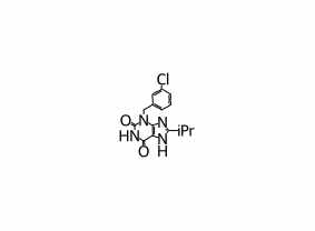 CC(C)c1nc2c([nH]1)c(=O)[nH]c(=O)n2Cc1cccc(Cl)c1